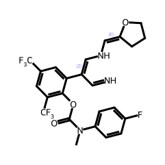 CN(C(=O)Oc1c(/C(C=N)=C/N/C=C2\CCCO2)cc(C(F)(F)F)cc1C(F)(F)F)c1ccc(F)cc1